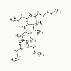 CCCCOC(OCCCC)[SiH2]C(CC)SSC(CC)[SiH2]C(OCCCC)OCCCC